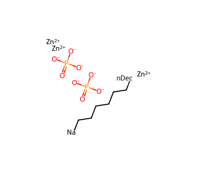 CCCCCCCCCCCCCCC[CH2][Na].O=P([O-])([O-])[O-].O=P([O-])([O-])[O-].[Zn+2].[Zn+2].[Zn+2]